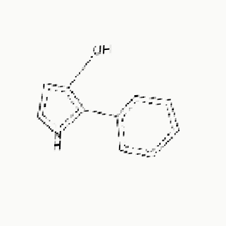 Oc1cc[nH]c1-c1ccccc1